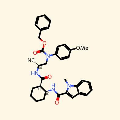 COc1ccc(N(C[C@@H](C#N)NC(=O)[C@@H]2CCCC[C@@H]2NC(=O)c2cc3ccccc3n2C)C(=O)OCc2ccccc2)cc1